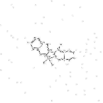 Cc1c2c(cc3ccccc13)C(C)(C)c1cc3ccccc3nc1-2